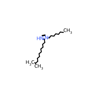 CCCCCCCC[n+]1cc[nH]c1CCCCCCCCCC(C)C